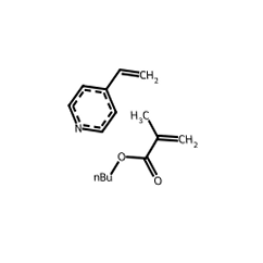 C=C(C)C(=O)OCCCC.C=Cc1ccncc1